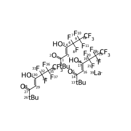 CC(C)(C)C(=O)C=C(O)C(F)(F)C(F)(F)C(F)(F)F.CC(C)(C)C(=O)C=C(O)C(F)(F)C(F)(F)C(F)(F)F.CC(C)(C)C(=O)C=C(O)C(F)(F)C(F)(F)C(F)(F)F.[La]